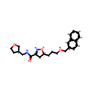 O=C(NCC1CCOC1)C1=NOC(CCCOCc2ccc3ccccc3c2)C1